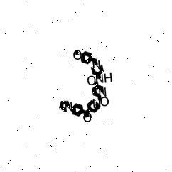 COc1ccc(CN2CCC(NC(=O)c3ccc(C(=O)N4CCC(C(=O)c5ccc(N6CCCC6)cc5)CC4)nc3)CC2)cc1